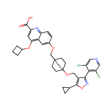 O=C(O)c1cc(OC2CCC2)c2cc(OCC34CCC(OCc5c(-c6c(Cl)cncc6Cl)noc5C5CC5)(CC3)CC4)ccc2n1